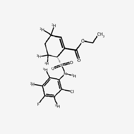 [2H]c1c([2H])c(N([2H])S(=O)(=O)[C@H]2C(C(=O)OCC)=CC([2H])([2H])CC2([2H])[2H])c(Cl)c([2H])c1F